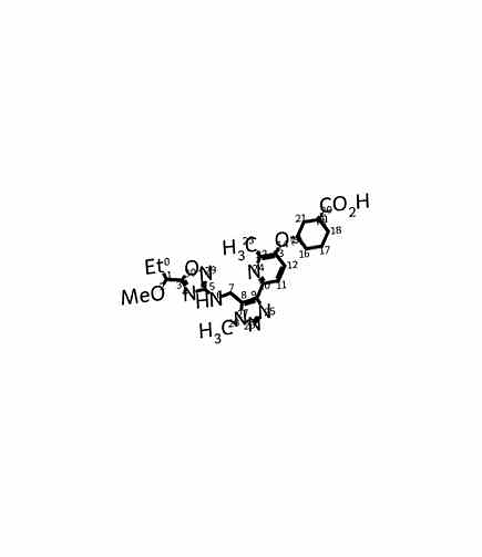 CCC(OC)c1nc(NCc2c(-c3ccc(O[C@H]4CCC[C@H](C(=O)O)C4)c(C)n3)nnn2C)no1